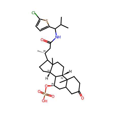 CC(C)C(NC(=O)C[C@@H](C)C1CC[C@H]2C3[C@H](OS(=O)(=O)O)CC4CC(=O)CCC4(C)[C@H]3CCC12C)c1ccc(Cl)s1